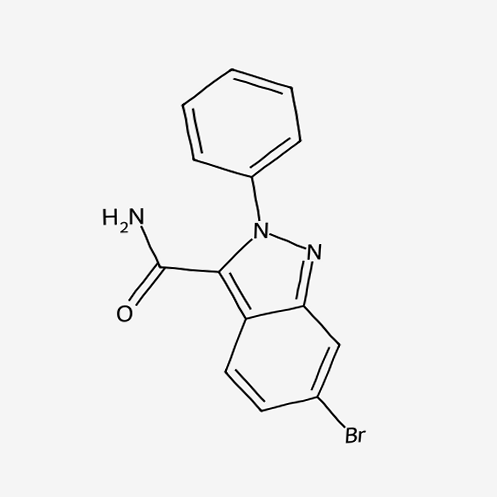 NC(=O)c1c2ccc(Br)cc2nn1-c1ccccc1